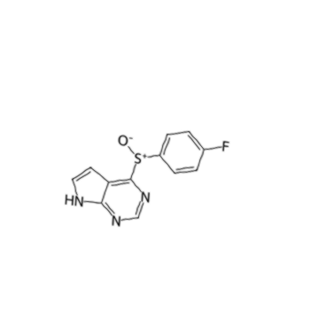 [O-][S+](c1ccc(F)cc1)c1ncnc2[nH]ccc12